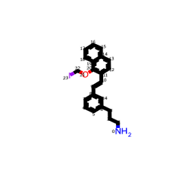 NCCCc1cccc(C=Cc2ccc3ccccc3c2OCI)c1